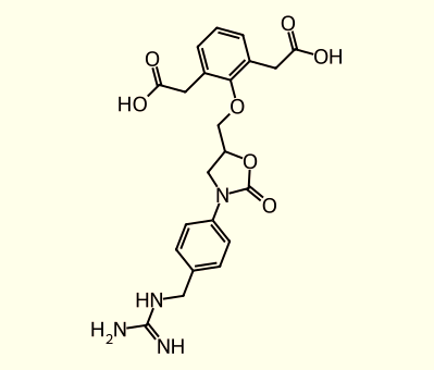 N=C(N)NCc1ccc(N2CC(COc3c(CC(=O)O)cccc3CC(=O)O)OC2=O)cc1